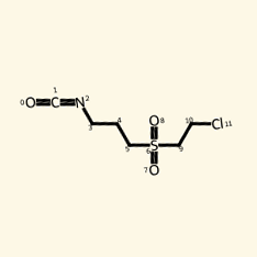 O=C=NCCCS(=O)(=O)CCCl